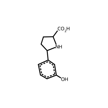 O=C(O)C1CCC(c2cccc(O)c2)N1